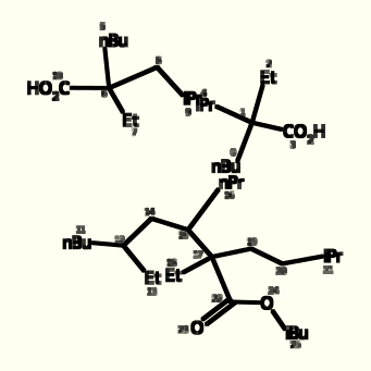 CCCCC(CC)(C(=O)O)C(C)C.CCCCC(CC)(CC(C)C)C(=O)O.CCCCC(CC)CC(CCC)C(CC)(CCC(C)C)C(=O)OC(C)CC